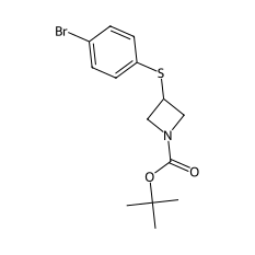 CC(C)(C)OC(=O)N1CC(Sc2ccc(Br)cc2)C1